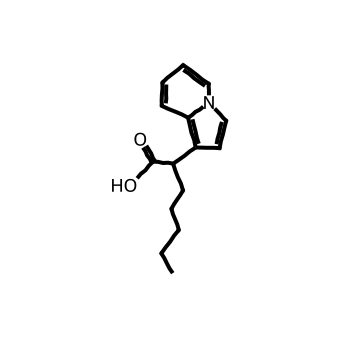 CCCCCC(C(=O)O)c1ccn2ccccc12